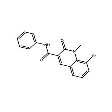 Cn1c(=O)c(C(=O)Nc2ccccc2)cc2cccc(Br)c21